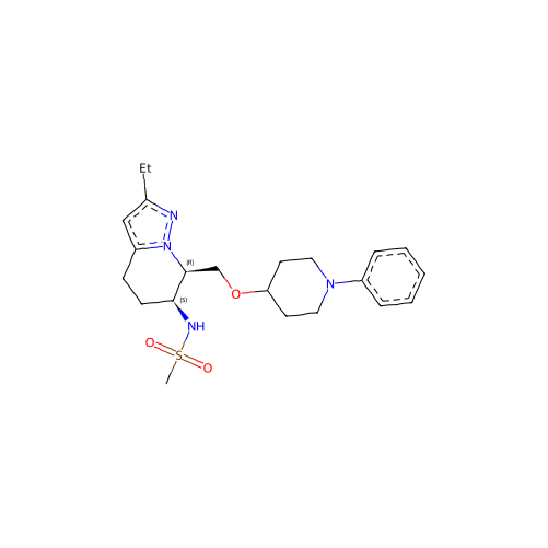 CCc1cc2n(n1)[C@@H](COC1CCN(c3ccccc3)CC1)[C@@H](NS(C)(=O)=O)CC2